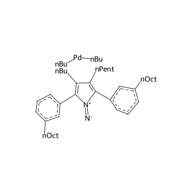 CCCCCCCCc1cccc(C2=C(CCCC)C(CCCCC)=C(c3cccc(CCCCCCCC)c3)[N+]2=[N-])c1.CCC[CH2][Pd][CH2]CCC